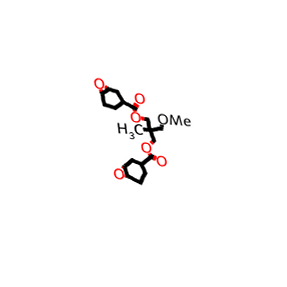 COCC(C)(COC(=O)C1CCC2OC2C1)COC(=O)C1CCC2OC2C1